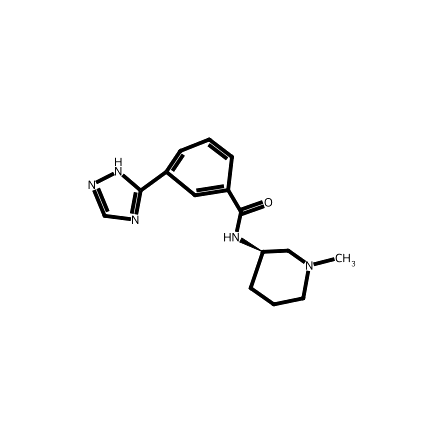 CN1CCC[C@@H](NC(=O)c2cccc(-c3ncn[nH]3)c2)C1